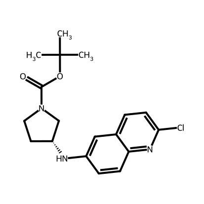 CC(C)(C)OC(=O)N1CC[C@@H](Nc2ccc3nc(Cl)ccc3c2)C1